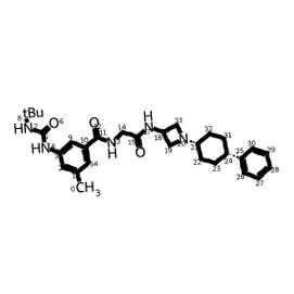 Cc1cc(NC(=O)NC(C)(C)C)cc(C(=O)NCC(=O)NC2CN([C@H]3CC[C@@H](c4ccccc4)CC3)C2)c1